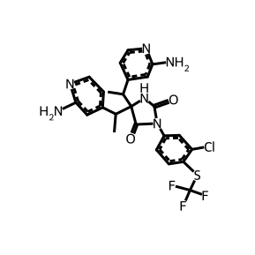 CC(c1ccnc(N)c1)C1(C(C)c2ccnc(N)c2)NC(=O)N(c2ccc(SC(F)(F)F)c(Cl)c2)C1=O